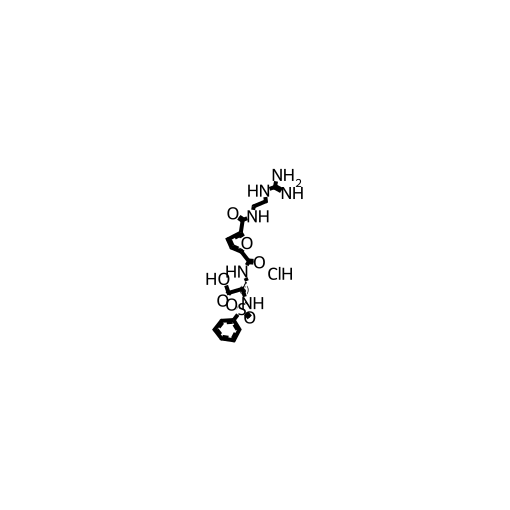 Cl.N=C(N)NCCNC(=O)c1ccc(C(=O)NC[C@H](NS(=O)(=O)c2ccccc2)C(=O)O)o1